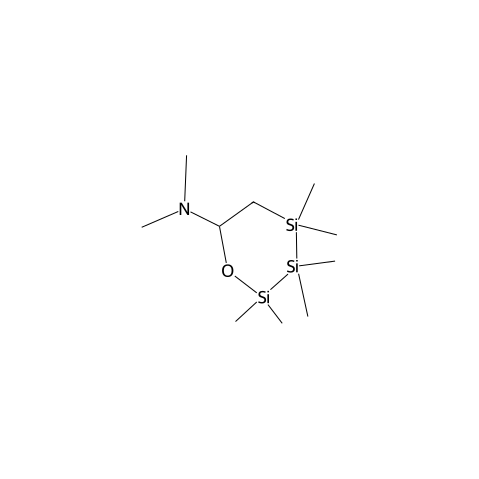 CN(C)C1C[Si](C)(C)[Si](C)(C)[Si](C)(C)O1